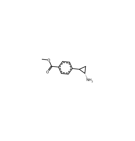 COC(=O)c1ccc(C2C[C@@H]2N)cc1